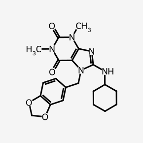 Cn1c(=O)c2c(nc(NC3CCCCC3)n2Cc2ccc3c(c2)OCO3)n(C)c1=O